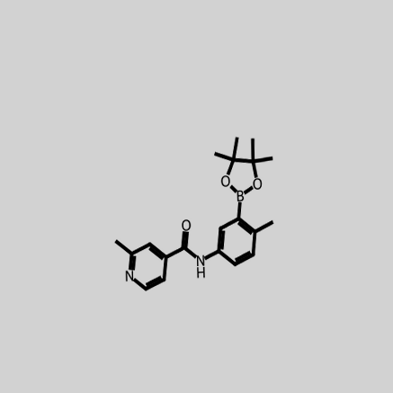 Cc1cc(C(=O)Nc2ccc(C)c(B3OC(C)(C)C(C)(C)O3)c2)ccn1